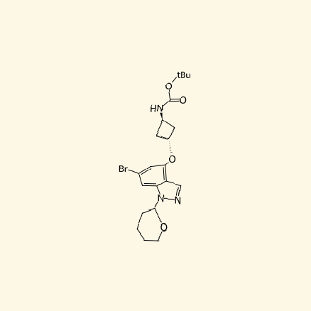 CC(C)(C)OC(=O)N[C@H]1C[C@H](Oc2cc(Br)cc3c2cnn3C2CCCCO2)C1